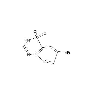 CC(C)c1ccc2c(c1)S(=O)(=O)NC=N2